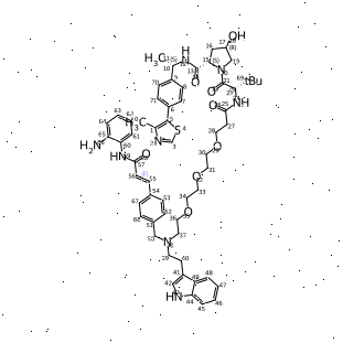 Cc1ncsc1-c1ccc([C@H](C)NC(=O)[C@@H]2C[C@@H](O)CN2C(=O)[C@@H](NC(=O)CCOCCOCCOCCN(CCc2c[nH]c3ccccc23)Cc2ccc(/C=C/C(=O)Nc3ccccc3N)cc2)C(C)(C)C)cc1